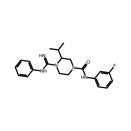 CC(C)C1CN(C(=O)Nc2cccc(F)c2)CCN1C(=N)Nc1ccccc1